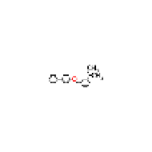 CCC(C)c1cccc(COc2ccc(-c3ccccc3)cc2)c1